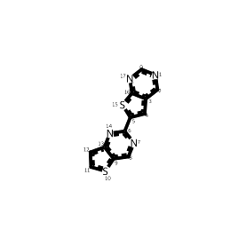 c1ncc2cc(-c3ncc4sccc4n3)sc2n1